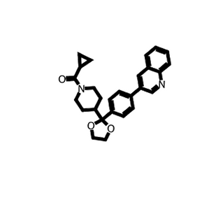 O=C(C1CC1)N1CCC(C2(c3ccc(-c4cnc5ccccc5c4)cc3)OCCO2)CC1